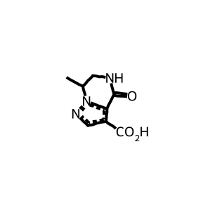 CC1CNC(=O)c2c(C(=O)O)cnn21